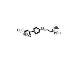 CCCC/C(C)=C\C(=O)c1ccc(OCCCN(CCCC)CCCC)cc1